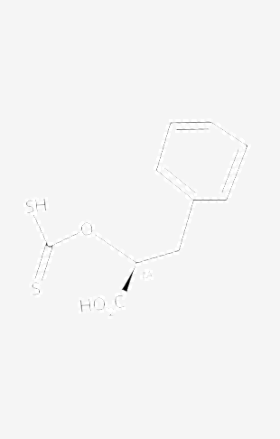 O=C(O)[C@H](Cc1ccccc1)OC(=S)S